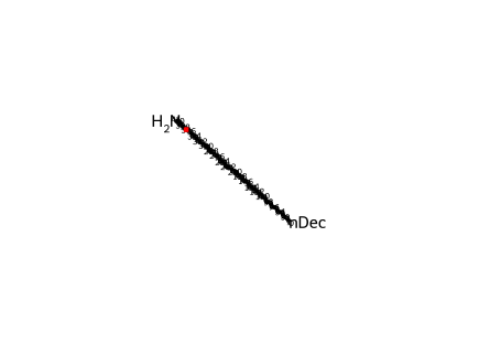 CCCCCCCCCCCCCCCCCCCCCCCCCCCCCCCCCCCCCCCCCCCCCCCCC=CN